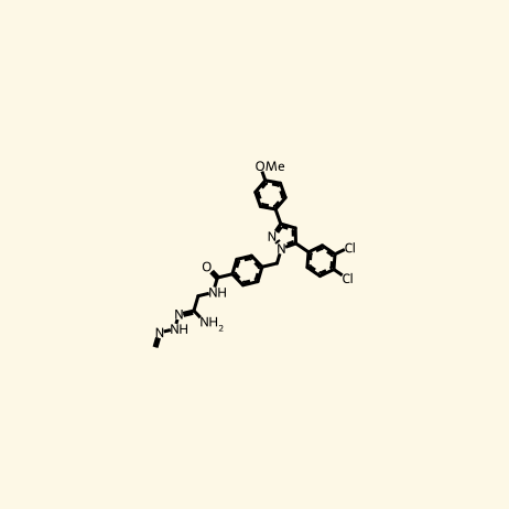 C=NN/N=C(\N)CNC(=O)c1ccc(Cn2nc(-c3ccc(OC)cc3)cc2-c2ccc(Cl)c(Cl)c2)cc1